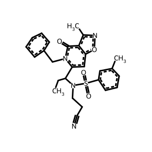 CCC(c1cc2onc(C)c2c(=O)n1Cc1ccccc1)N(CCC#N)S(=O)(=O)c1cccc(C)c1